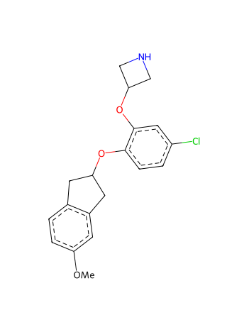 COc1ccc2c(c1)CC(Oc1ccc(Cl)cc1OC1CNC1)C2